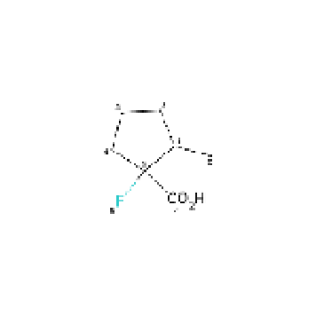 CC1CCCC1(F)C(=O)O